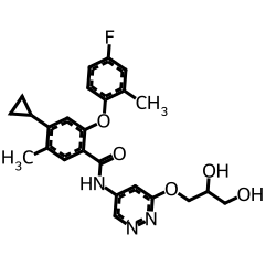 Cc1cc(F)ccc1Oc1cc(C2CC2)c(C)cc1C(=O)Nc1cnnc(OCC(O)CO)c1